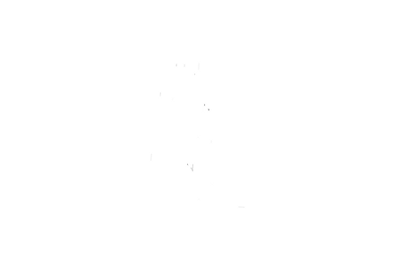 CC1COc2c(N3CCCC(CO)C3)c(F)cc3c(=O)c(C(=O)O)cn1c23